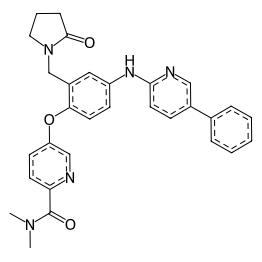 CN(C)C(=O)c1ccc(Oc2ccc(Nc3ccc(-c4ccccc4)cn3)cc2CN2CCCC2=O)cn1